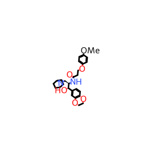 COc1ccc(OCCC(=O)N[C@H](CN2C3CCC2CC3)[C@H](O)c2ccc3c(c2)OCCO3)cc1